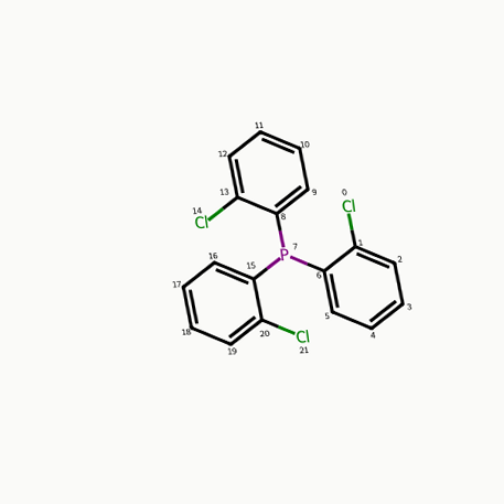 Clc1ccccc1P(c1ccccc1Cl)c1ccccc1Cl